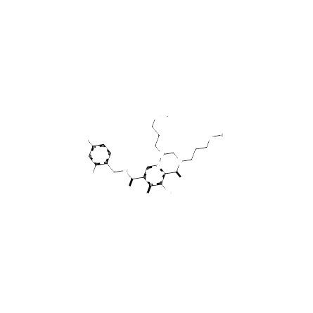 COCCCN1CN(CCCOC(C)C)C(=O)c2c(O)c(=O)c(C(=O)NCc3ccc(F)cc3F)cn21